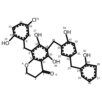 O=C1CCOc2c(Cc3cc(Cl)ccc3O)c(O)c(Cc3cc(Cc4ccccc4O)ccc3O)c(O)c21